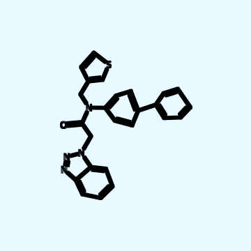 O=C(Cn1nnc2ccccc21)N(Cc1ccsc1)c1ccc(-c2ccccc2)cc1